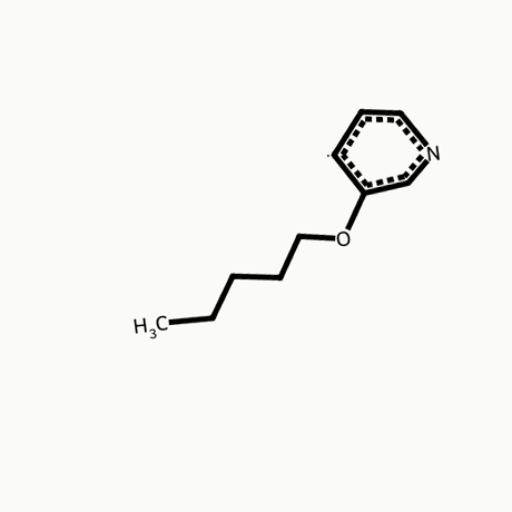 CCCCCOc1[c]ccnc1